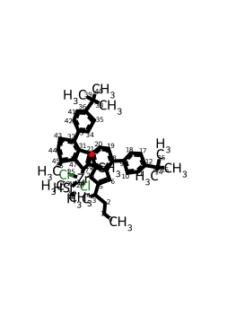 CCCC(C)C1=Cc2c(-c3ccc(C(C)(C)C)cc3)cccc2[CH]1[Zr]([Cl])([Cl])([CH]1C(C)=Cc2c(-c3ccc(C(C)(C)C)cc3)ccc(C)c21)[SiH](C)C